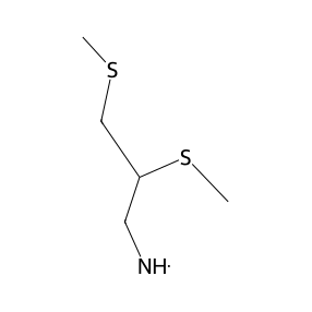 CSCC(C[NH])SC